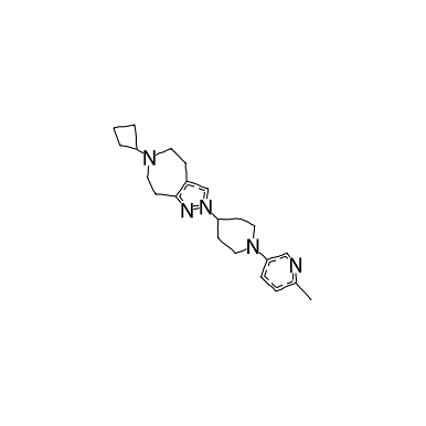 Cc1ccc(N2CCC(n3cc4c(n3)CCN(C3CCC3)CC4)CC2)cn1